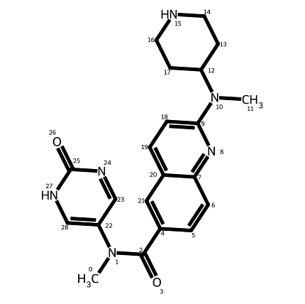 CN(C(=O)c1ccc2nc(N(C)C3CCNCC3)ccc2c1)c1cnc(=O)[nH]c1